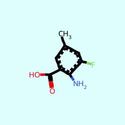 Cc1cc(F)c(N)c(C(=O)O)c1